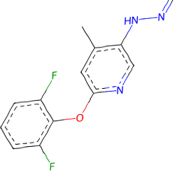 C=NNc1cnc(Oc2c(F)cccc2F)cc1C